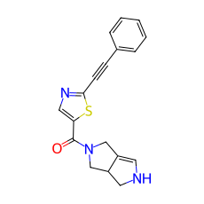 O=C(c1cnc(C#Cc2ccccc2)s1)N1CC2=CNCC2C1